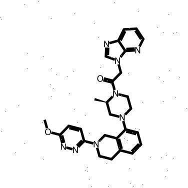 COc1ccc(N2CCc3cccc(N4CCN(C(=O)Cn5cnc6cccnc65)[C@H](C)C4)c3C2)nn1